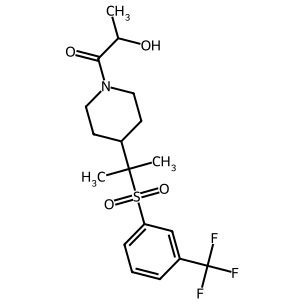 CC(O)C(=O)N1CCC(C(C)(C)S(=O)(=O)c2cccc(C(F)(F)F)c2)CC1